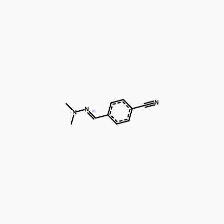 CN(C)/N=C/c1ccc(C#N)cc1